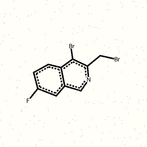 Fc1ccc2c(Br)c(CBr)ncc2c1